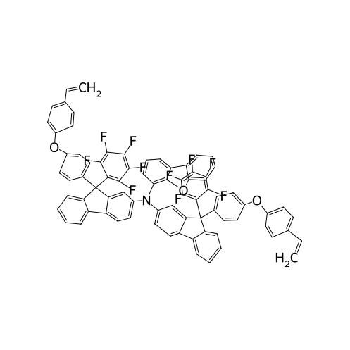 C=Cc1ccc(Oc2ccc(C3(c4c(F)c(F)c(F)c(F)c4F)c4ccccc4-c4ccc(N(c5ccc6c(c5)C(c5ccc(Oc7ccc(C=C)cc7)cc5)(c5c(F)c(F)c(F)c(F)c5F)c5ccccc5-6)c5cccc6c5oc5ccccc56)cc43)cc2)cc1